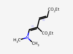 CCOC(=O)/C=C/C(=C/N(C)C)C(=O)OCC